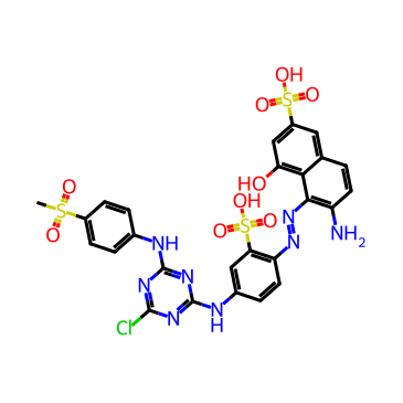 CS(=O)(=O)c1ccc(Nc2nc(Cl)nc(Nc3ccc(/N=N/c4c(N)ccc5cc(S(=O)(=O)O)cc(O)c45)c(S(=O)(=O)O)c3)n2)cc1